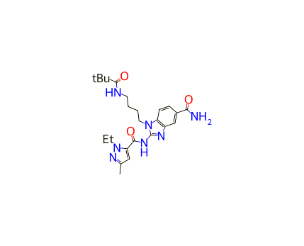 CCn1nc(C)cc1C(=O)Nc1nc2cc(C(N)=O)ccc2n1CCCCNC(=O)C(C)(C)C